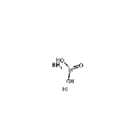 I.O=[Se](O)O.[BiH3]